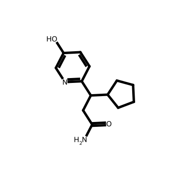 NC(=O)CC(c1ccc(O)cn1)C1CCCC1